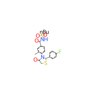 CCCCS(=O)(=O)NC(=O)c1ccc(N2C(=O)CSC2c2ccc(F)cc2)c(C)c1